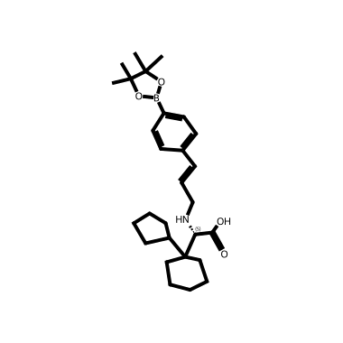 CC1(C)OB(c2ccc(C=CCN[C@H](C(=O)O)C3(C4CCCC4)CCCCC3)cc2)OC1(C)C